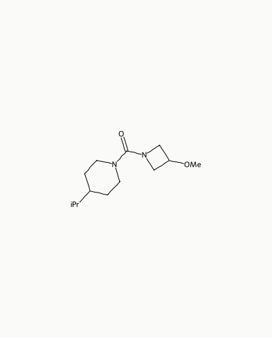 COC1CN(C(=O)N2CCC(C(C)C)CC2)C1